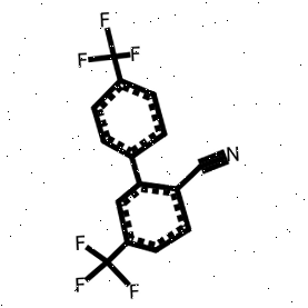 N#Cc1ccc(C(F)(F)F)cc1-c1ccc(C(F)(F)F)cc1